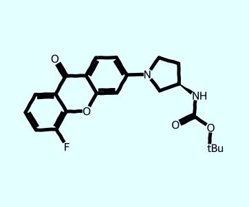 CC(C)(C)OC(=O)N[C@@H]1CCN(c2ccc3c(=O)c4cccc(F)c4oc3c2)C1